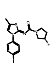 Cc1cn(-c2ccc(I)cc2)/c(=N/C(=O)N2CC[C@@H](F)C2)s1